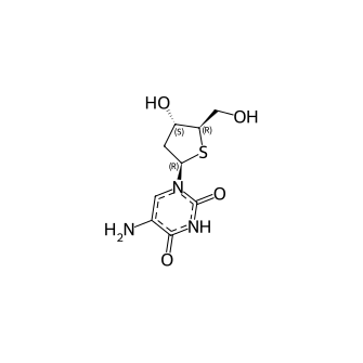 Nc1cn([C@H]2C[C@H](O)[C@@H](CO)S2)c(=O)[nH]c1=O